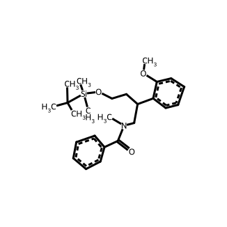 COc1ccccc1C(CCO[Si](C)(C)C(C)(C)C)CN(C)C(=O)c1ccccc1